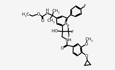 CCOC(=O)NC(C)(C)c1cc(-c2ccc(F)cc2)nc(C(O)(CNC(=O)c2ccc(OC3CC3)c(OC)c2)C(F)(F)F)c1